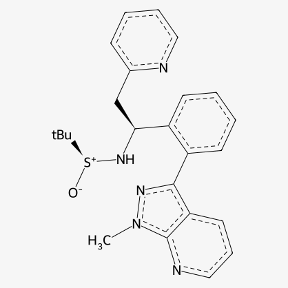 Cn1nc(-c2ccccc2[C@H](Cc2ccccn2)N[S@@+]([O-])C(C)(C)C)c2cccnc21